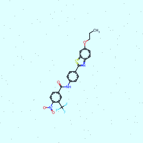 CCCOc1ccc2nc(-c3ccc(NC(=O)c4ccc([N+](=O)[O-])c(C(F)(F)F)c4)cc3)sc2c1